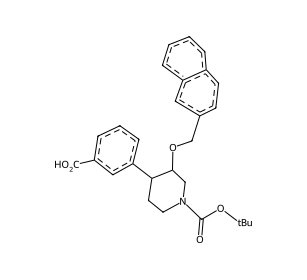 CC(C)(C)OC(=O)N1CCC(c2cccc(C(=O)O)c2)C(OCc2ccc3ccccc3c2)C1